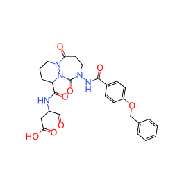 O=CC(CC(=O)O)NC(=O)C1CCCN2C(=O)CCN(NC(=O)c3ccc(OCc4ccccc4)cc3)C(=O)N12